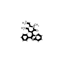 C=CCC(C(=O)N(C)CC=C)c1c(-c2ccccc2)nc2ccccn12